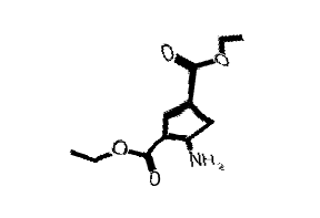 CCOC(=O)C1=C(N)CC(C(=O)OCC)C1